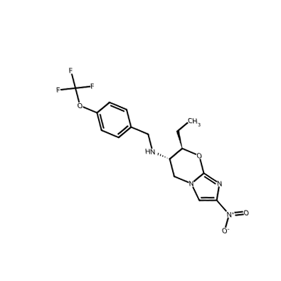 CC[C@H]1Oc2nc([N+](=O)[O-])cn2C[C@@H]1NCc1ccc(OC(F)(F)F)cc1